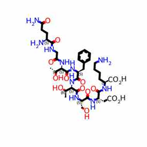 C[C@@H](O)[C@H](NC(=O)CNC(=O)[C@@H](N)CCC(N)=O)C(=O)N[C@@H](Cc1ccccc1)C(=O)N[C@H](C(=O)N[C@@H](CO)C(=O)N[C@@H](CC(=O)O)C(=O)N[C@@H](CCCCN)C(=O)O)[C@@H](C)O